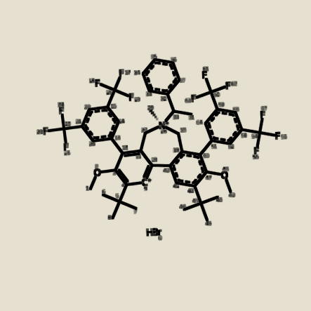 Br.COC1=C(C(C)(C)C)[C+]=C2C(=C1c1cc(C(F)(F)F)cc(C(F)(F)F)c1)C[N@@+](C)(C(C)c1ccccc1)Cc1c2cc(C(C)(C)C)c(OC)c1-c1cc(C(F)(F)F)cc(C(F)(F)F)c1